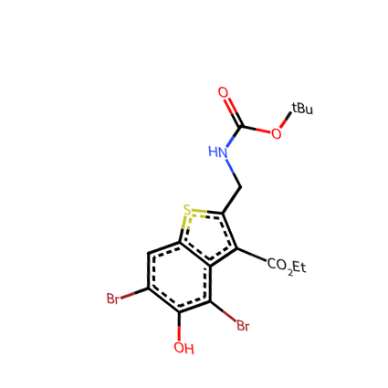 CCOC(=O)c1c(CNC(=O)OC(C)(C)C)sc2cc(Br)c(O)c(Br)c12